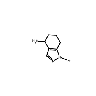 CC(C)n1ncc2c1CCCC2N